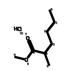 CCCCC(C)C(=O)OC.Cl